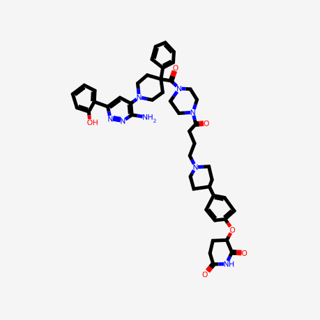 Nc1nnc(-c2ccccc2O)cc1N1CCC(C(=O)N2CCN(C(=O)CCCN3CCC(c4ccc(OC5CCC(=O)NC5=O)cc4)CC3)CC2)(c2ccccc2)CC1